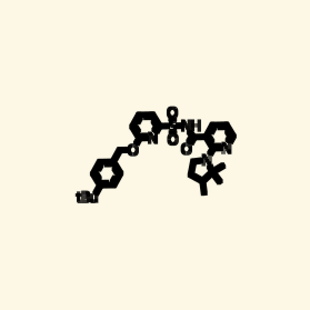 CC1CCN(c2ncccc2C(=O)NS(=O)(=O)c2cccc(OCc3ccc(C(C)(C)C)cc3)n2)C1(C)C